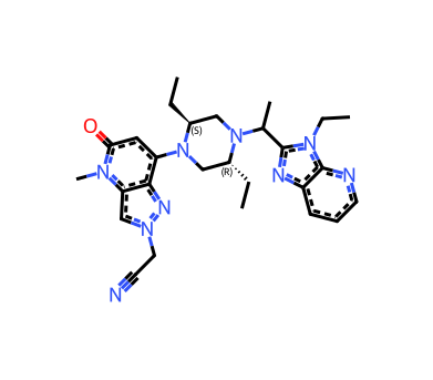 CC[C@H]1CN(C(C)c2nc3cccnc3n2CC)[C@H](CC)CN1c1cc(=O)n(C)c2cn(CC#N)nc12